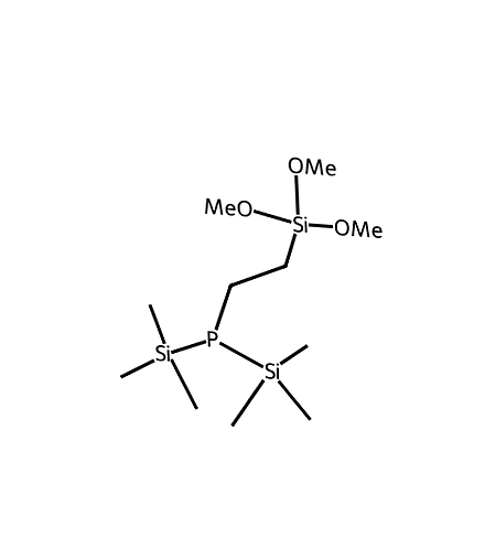 CO[Si](CCP([Si](C)(C)C)[Si](C)(C)C)(OC)OC